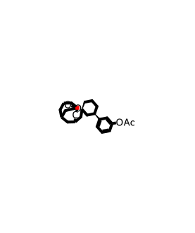 CC(=O)Oc1cccc([C@@H]2CCC[C@]3(CC4CC5CC(C4)CC(C5)OO3)C2)c1